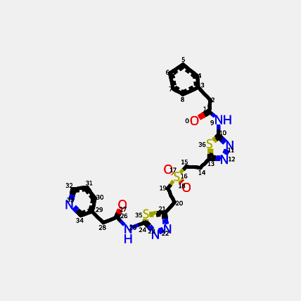 O=C(Cc1ccccc1)Nc1nnc(CCS(=O)(=O)CCc2nnc(NC(=O)Cc3cccnc3)s2)s1